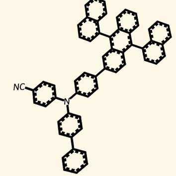 N#Cc1ccc(N(c2ccc(-c3ccccc3)cc2)c2ccc(-c3ccc4c(-c5cccc6ccccc56)c5ccccc5c(-c5cccc6ccccc56)c4c3)cc2)cc1